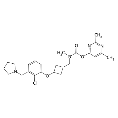 Cc1cc(OC(=O)N(C)CC2CC(Oc3cccc(CN4CCCC4)c3Cl)C2)nc(C)n1